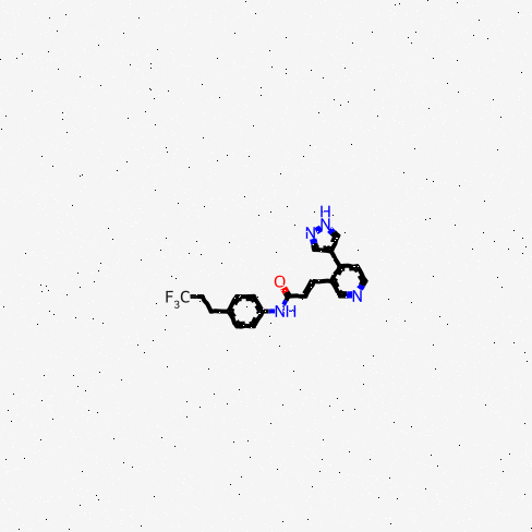 O=C(/C=C/c1cnccc1-c1cn[nH]c1)Nc1ccc(CCC(F)(F)F)cc1